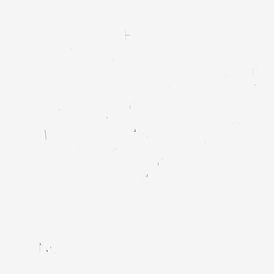 N#CC=C1CCC(c2cc(F)ccc2F)(S(=O)(=O)c2ccc(Cl)cc2)CC1